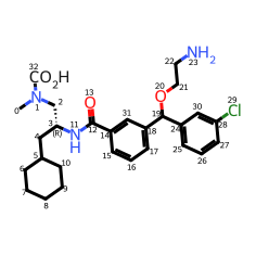 CN(C[C@@H](CC1CCCCC1)NC(=O)c1cccc(C(OCCN)c2cccc(Cl)c2)c1)C(=O)O